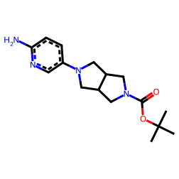 CC(C)(C)OC(=O)N1CC2CN(c3ccc(N)nc3)CC2C1